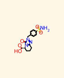 NS(=O)(=O)c1ccc(Cn2nc3n(c2=O)[C@H](C(=O)O)CCC3)cc1